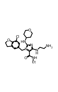 CCNC(=O)c1c(NCCN)nc(NC2CCOCC2)n1Cc1cc(Cl)c2c(c1)CCO2